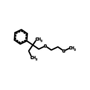 CCC(C)(COCCOC)c1ccccc1